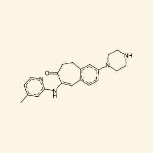 Cc1ccnc(NC2=Cc3ccc(N4CCNCC4)cc3CCC2=O)c1